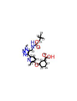 Cc1nc(-c2nnn(C)c2CNC(=O)OCC(C)(C)C)ccc1O[C@H]1CCCC(C(=O)O)C1